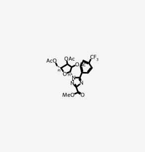 COC(=O)c1nc(-c2ccc(C(F)(F)F)cc2)n([C@@H]2O[C@H](COC(C)=O)C(OC(C)=O)C2OC(C)=O)n1